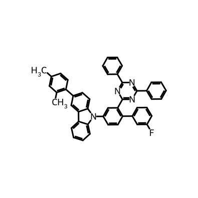 Cc1ccc(-c2ccc3c(c2)c2ccccc2n3-c2ccc(-c3cccc(F)c3)c(-c3nc(-c4ccccc4)nc(-c4ccccc4)n3)c2)c(C)c1